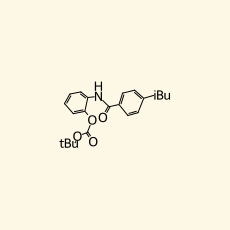 CCC(C)c1ccc(C(=O)Nc2ccccc2OC(=O)OC(C)(C)C)cc1